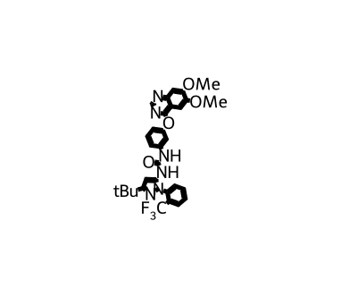 COc1cc2ncnc(Oc3cccc(NC(=O)Nc4cc(C(C)(C)C)nn4-c4ccccc4C(F)(F)F)c3)c2cc1OC